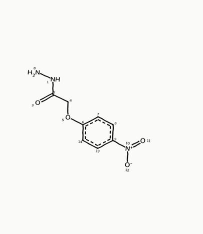 NNC(=O)COc1ccc([N+](=O)[O-])cc1